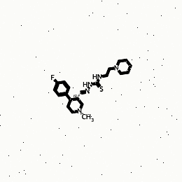 CN1CCC(c2ccc(F)cc2)[C@H](C=NNC(=S)NCCN2CCCCC2)C1